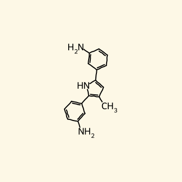 Cc1cc(-c2cccc(N)c2)[nH]c1-c1cccc(N)c1